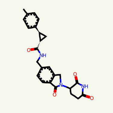 Cc1ccc([C@H]2C[C@@H]2C(=O)NCc2ccc3c(c2)CN(C2CCC(=O)NC2=O)C3=O)cc1